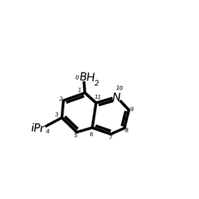 Bc1cc(C(C)C)cc2cccnc12